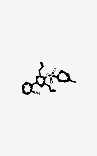 C=CCc1cc(-c2ccccc2O)cc(CC=C)c1OS(=O)(=O)c1ccc(C)cc1